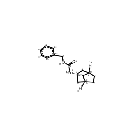 O=C(N[C@@H]1C[C@@H]2CC[C@@H](C2)C1)OCc1ccccc1